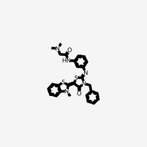 CN(C)CC(=O)Nc1cccc(/N=C2\S/C(=C3\Sc4ccccc4N3C)C(=O)N2Cc2ccccc2)c1